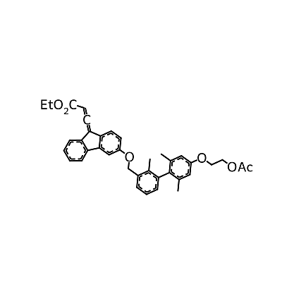 CCOC(=O)C=C=C1c2ccccc2-c2cc(OCc3cccc(-c4c(C)cc(OCCOC(C)=O)cc4C)c3C)ccc21